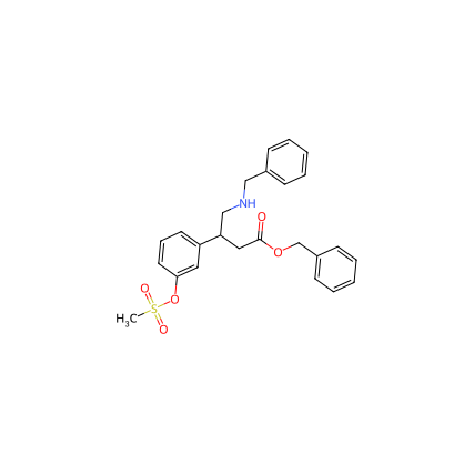 CS(=O)(=O)Oc1cccc(C(CNCc2ccccc2)CC(=O)OCc2ccccc2)c1